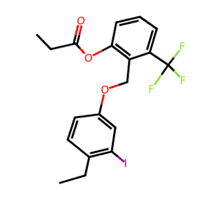 CCC(=O)Oc1cccc(C(F)(F)F)c1COc1ccc(CC)c(I)c1